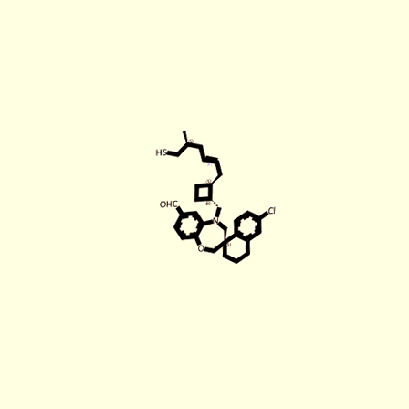 C[C@H](CS)C/C=C/C[C@@H]1CC[C@H]1CN1C[C@@]2(CCCc3cc(Cl)ccc32)COc2ccc(C=O)cc21